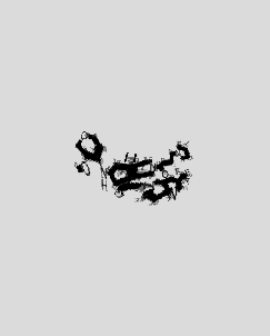 CO[C@@H]1COCC[C@@H]1N[C@@H]1C[C@H]2CN(C(=O)C=CCN3CCCC3)C[C@@]2(C(=O)N2CCc3ncc(C(F)(F)F)cc3C2)C1